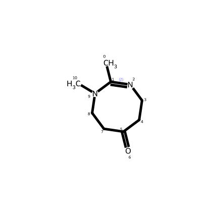 C/C1=N/CCC(=O)CCN1C